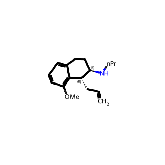 C=CC[C@@H]1c2c(cccc2OC)CC[C@H]1NCCC